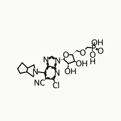 N#Cc1c(Cl)nc2c(ncn2[C@@H]2O[C@H](COCP(=O)(O)O)[C@@H](O)[C@H]2O)c1N1CC2CCCC2C1